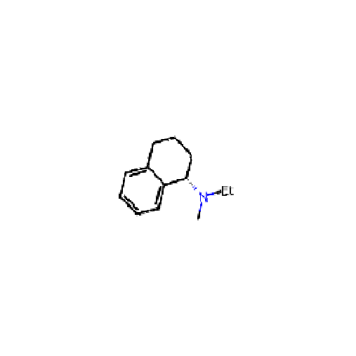 CCN(C)[C@H]1CCCc2ccccc21